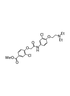 CCN(CC)CCOc1ccc(NC(=O)COc2ccc(C(=O)OC)cc2Cl)cc1Cl